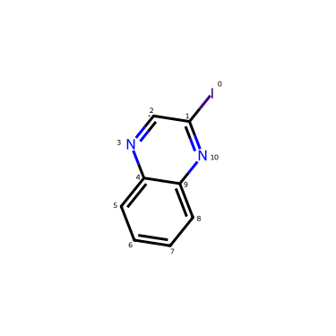 Ic1[c]nc2ccccc2n1